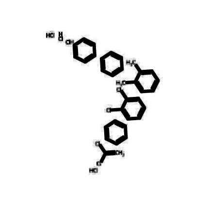 C=C(Cl)Cl.Cc1ccccc1C.Cl.Cl.Cl.Cl.Clc1ccccc1Cl.c1ccccc1.c1ccccc1.c1ccccc1